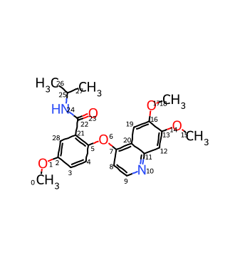 COc1ccc(Oc2ccnc3cc(OC)c(OC)cc23)c(C(=O)NC(C)C)c1